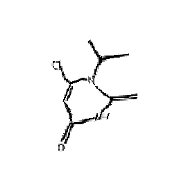 C=C1NC(=O)C=C(Cl)N1C(C)C